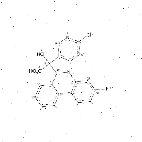 O=C(O)C(O)(c1ccc(Cl)nc1)C(Nc1cccc(F)c1)c1ccccc1